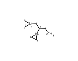 CCC(CN1CC1)N1CC1